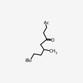 CCC(C)CCC(C)CC(=O)CCC(C)=O